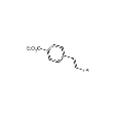 CCC/C=C/c1ccc(C(=O)OCC)cc1